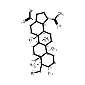 C=C(C)[C@@H]1CC[C@]2(C(=O)O)CC[C@]3(C)C(CCC4[C@@]5(C)CC[C@H](O)[C@@](C)(CO)[C@@H]5CC[C@]43C)C12